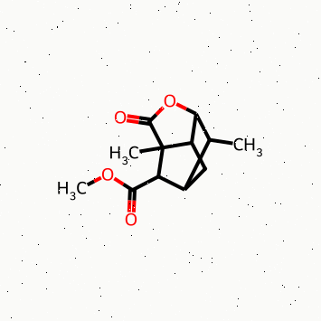 COC(=O)C1C2CC3C(OC(=O)C31C)C2C